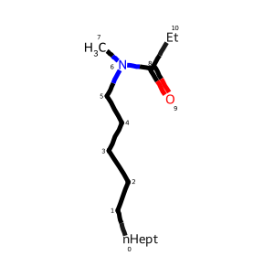 CCCCCCCCCCCCN(C)C(=O)CC